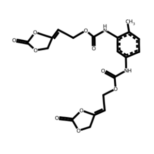 Cc1ccc(NC(=O)OCC=C2COC(=O)O2)cc1NC(=O)OC/C=C1\COC(=O)O1